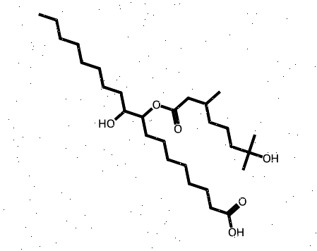 CCCCCCCCC(O)C(CCCCCCCC(=O)O)OC(=O)CC(C)CCCC(C)(C)O